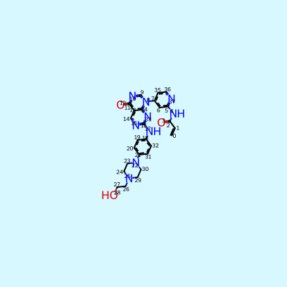 C=CC(=O)Nc1cc(-n2cnc(=O)c3cnc(Nc4ccc(N5CCN(CCO)CC5)cc4)nc32)ccn1